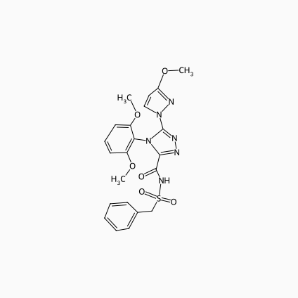 COc1ccn(-c2nnc(C(=O)NS(=O)(=O)Cc3ccccc3)n2-c2c(OC)cccc2OC)n1